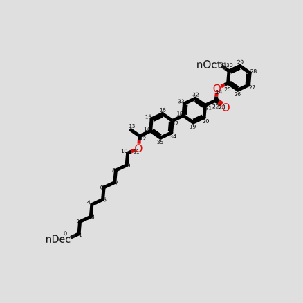 CCCCCCCCCCCCCCCCCCCCOC(C)c1ccc(-c2ccc(C(=O)Oc3ccccc3CCCCCCCC)cc2)cc1